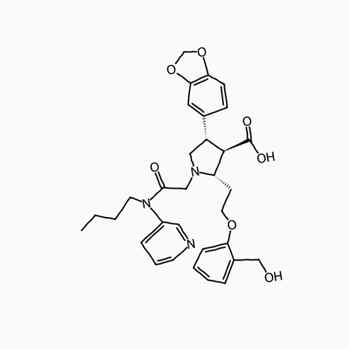 CCCCN(C(=O)CN1C[C@H](c2ccc3c(c2)OCO3)[C@@H](C(=O)O)[C@@H]1CCOc1ccccc1CO)c1cccnc1